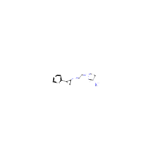 CN(C)[C@@H]1CCN(CCNC2CC2c2ccccc2)C1